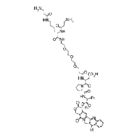 CCc1c2c(nc3ccccc13)-c1cc3c(c(=O)n1C2)COC(=O)[C@@]3(CC)OC(=O)[C@@H](NC(=O)[C@@H]1CCCN1C(=O)[C@H](CC(=O)O)NC(=O)CCOCCOCCOCCNC(=O)[C@H](CCCCNC(=O)CCN)NC(=O)CCN)C(C)C